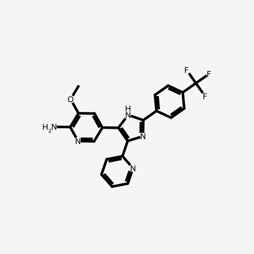 COc1cc(-c2[nH]c(-c3ccc(C(F)(F)F)cc3)nc2-c2ccccn2)cnc1N